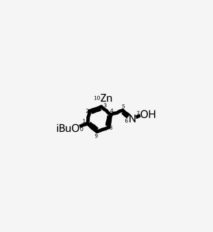 CC(C)COc1ccc(C=NO)cc1.[Zn]